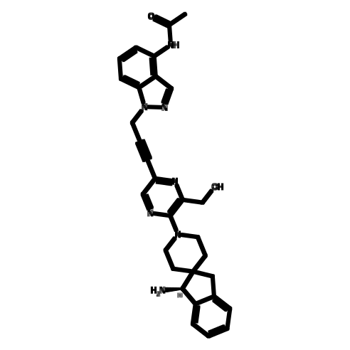 CC(=O)Nc1cccc2c1cnn2CC#Cc1cnc(N2CCC3(CC2)Cc2ccccc2[C@H]3N)c(CO)n1